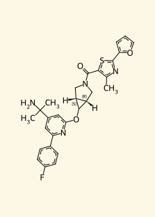 Cc1nc(-c2ccco2)sc1C(=O)N1C[C@@H]2C(Oc3cc(C(C)(C)N)cc(-c4ccc(F)cc4)n3)[C@@H]2C1